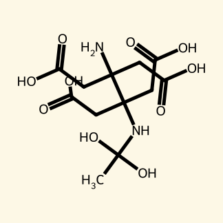 CC(O)(O)NC(CC(=O)O)(CC(=O)O)C(N)(CC(=O)O)CC(=O)O